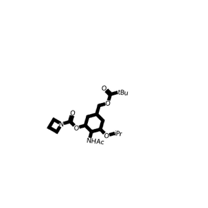 CC(=O)NC1C(OC(=O)N2CCC2)CC(COC(=O)C(C)(C)C)CC1OC(C)C